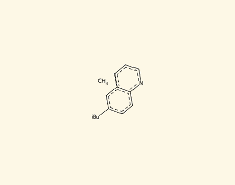 C.CCC(C)c1ccc2ncccc2c1